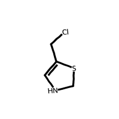 ClCC1=CNCS1